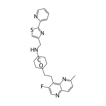 Cc1ccc2ncc(F)c(CCC34CCC(NCc5csc(-c6ccccn6)n5)(CC3)CO4)c2n1